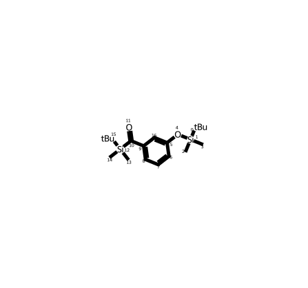 CC(C)(C)[Si](C)(C)Oc1cccc(C(=O)[Si](C)(C)C(C)(C)C)c1